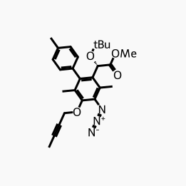 CC#CCOc1c(C)c(-c2ccc(C)cc2)c([C@H](OC(C)(C)C)C(=O)OC)c(C)c1N=[N+]=[N-]